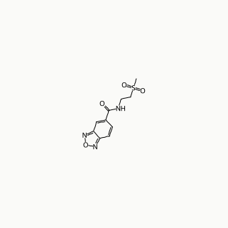 CS(=O)(=O)CCNC(=O)c1ccc2nonc2c1